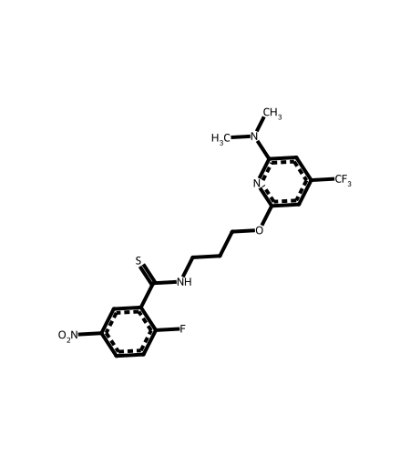 CN(C)c1cc(C(F)(F)F)cc(OCCCNC(=S)c2cc([N+](=O)[O-])ccc2F)n1